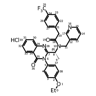 CCOc1ccc(-n2c([C@@H](C)N(Cc3cccnc3)C(=O)Cc3ccc(C(F)(F)F)cc3)nc3ccccc3c2=O)cc1.Cl